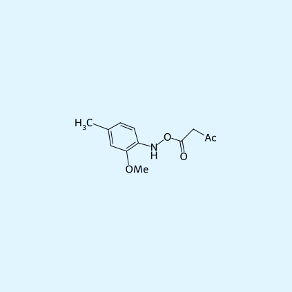 COc1cc(C)ccc1NOC(=O)CC(C)=O